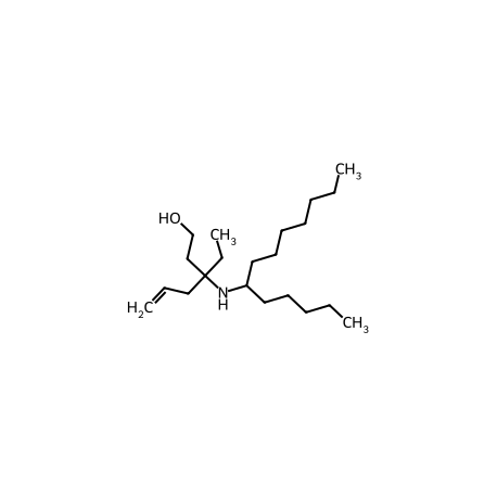 C=CCC(CC)(CCO)NC(CCCCC)CCCCCCC